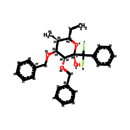 CC[C@H]1O[C@@](O)(C(F)(F)c2ccccc2)[C@H](OCc2ccccc2)[C@@H](OCc2ccccc2)[C@@H]1C